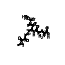 Br.CN(C)C(=O)C(=O)CSCC(NC(=O)CCC(N)C(=O)O)C(=O)N(C)C(=O)O